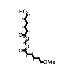 COCCCCCC(=O)OCOC(=O)CCCCCO